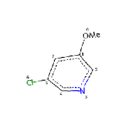 COc1cncc(Cl)c1